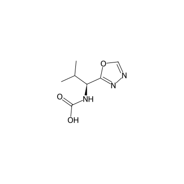 CC(C)[C@H](NC(=O)O)c1nnco1